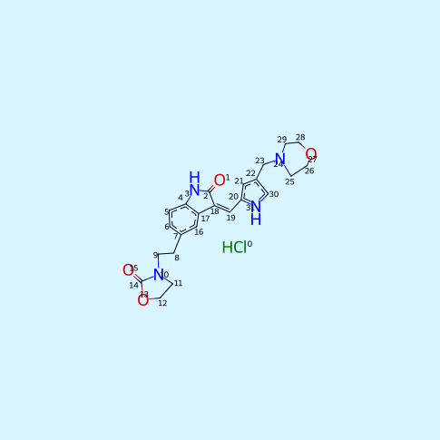 Cl.O=C1Nc2ccc(CCN3CCOC3=O)cc2C1=Cc1cc(CN2CCOCC2)c[nH]1